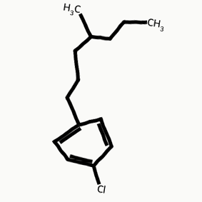 CCCC(C)CCCc1ccc(Cl)cc1